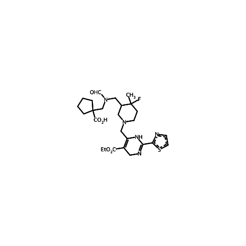 CCOC(=O)C1=C(CN2CCC(C)(F)C(CN(C=O)CC3(C(=O)O)CCCC3)C2)NC(c2nccs2)=NC1